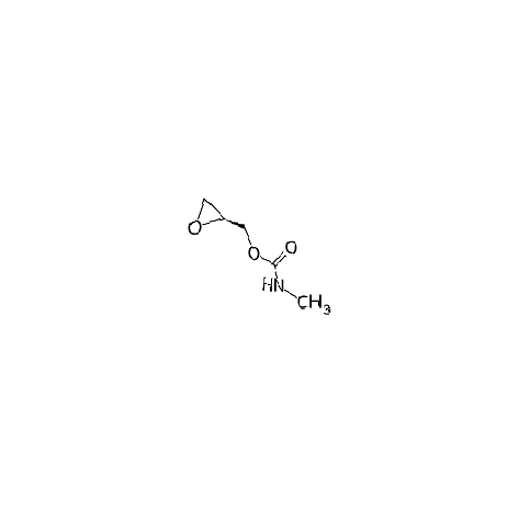 CNC(=O)OC[C@@H]1CO1